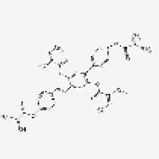 C=C(C)C(=O)Oc1ccc(/C=C/c2cc(OC(=O)/C(C)=C\C)c(-c3ccc(OC(=O)C(=C)C)cc3)cc2OC(=O)/C(C)=C\C)cc1